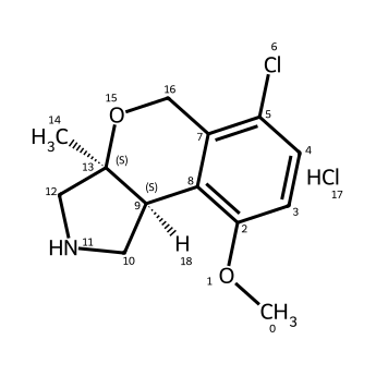 COc1ccc(Cl)c2c1[C@H]1CNC[C@@]1(C)OC2.Cl